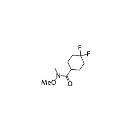 CON(C)C(=O)C1CCC(F)(F)CC1